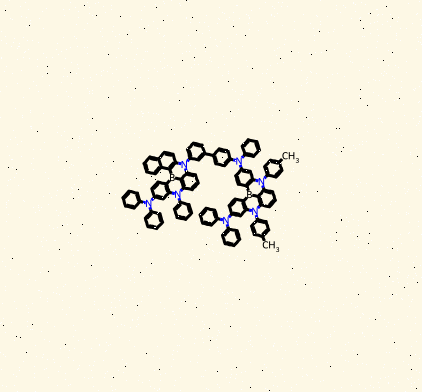 Cc1ccc(N2c3cc(N(c4ccccc4)c4ccccc4)ccc3B3c4ccc(N(c5ccccc5)c5ccc(-c6cccc(N7c8cccc9c8B(c8ccc(N(c%10ccccc%10)c%10ccccc%10)cc8N9c8ccccc8)c8c7ccc7ccccc87)c6)cc5)cc4N(c4ccc(C)cc4)c4cccc2c43)cc1